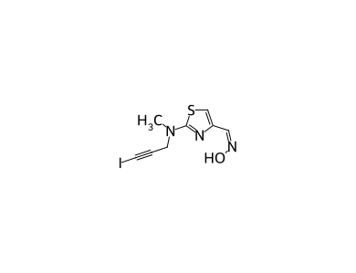 CN(CC#CI)c1nc(/C=N\O)cs1